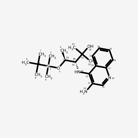 C[C@H](O[Si](C)(C)C(C)(C)C)[C@@H](Nc1c(N)cnc2ccccc12)C(C)(C)O